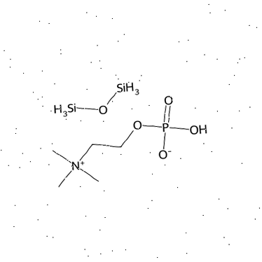 C[N+](C)(C)CCOP(=O)([O-])O.[SiH3]O[SiH3]